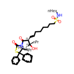 CCCCCCNS(=O)(=O)CCCCCCC=C[C@H](C(=O)N1C(=O)SC(c2ccccc2)(c2ccccc2)C1C(C)C)[C@@](O)(CCC)C(=O)O